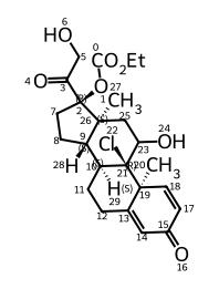 CCOC(=O)O[C@]1(C(=O)CO)CC[C@H]2[C@@H]3CCC4=CC(=O)C=C[C@]4(C)[C@@]3(Cl)C(O)C[C@@]21C